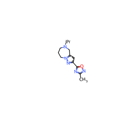 Cc1noc(-c2cc3n(n2)CCCN(C(C)C)C3)n1